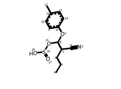 CCCC(C#N)C(Oc1ccc(C)cc1)OS(=O)O